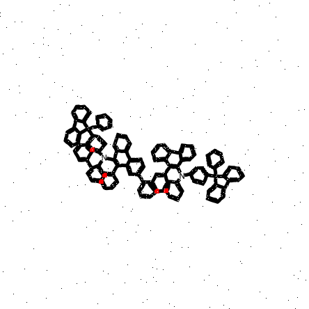 c1ccc(-c2ccccc2N(c2ccc(C3(c4ccccc4)c4ccccc4-c4ccccc43)cc2)c2c(-c3ccccc3)c3cc(-c4cccc(-c5cccc(N(c6ccc(C7(c8ccccc8)c8ccccc8-c8ccccc87)cc6)c6c(-c7ccccc7)c7ccccc7c7ccccc67)c5)c4)ccc3c3ccccc23)cc1